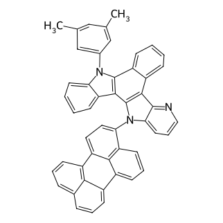 Cc1cc(C)cc(-n2c3ccccc3c3c2c2ccccc2c2c4ncccc4n(-c4ccc5c6cccc7cccc(c8cccc4c85)c76)c23)c1